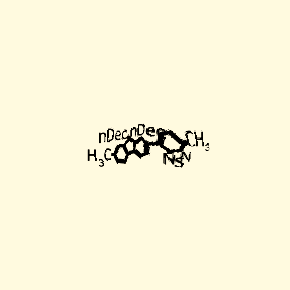 CCCCCCCCCCC1(CCCCCCCCCC)c2cc(C)ccc2-c2ccc(-c3ccc(C)c4nsnc34)cc21